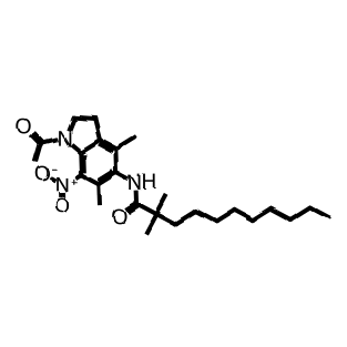 CCCCCCCCCC(C)(C)C(=O)Nc1c(C)c2c(c([N+](=O)[O-])c1C)N(C(C)=O)CC2